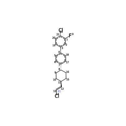 Fc1cc(-c2ccc([C@H]3CC[C@H](/C=C/Cl)CC3)cc2)ccc1Cl